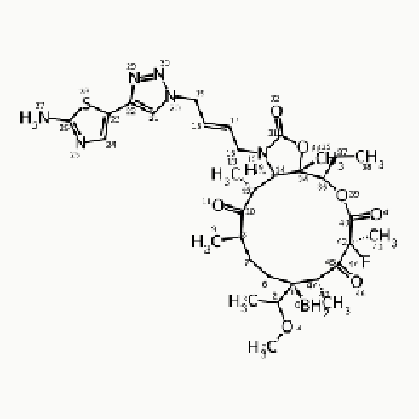 B[C@@]1(C(C)OC)CC[C@@H](C)C(=O)[C@H](C)[C@H]2N(C/C=C/Cn3cc(-c4cnc(N)s4)nn3)C(=O)O[C@]2(C)[C@@H](CC)OC(=O)[C@@](C)(F)C(=O)[C@@H]1C